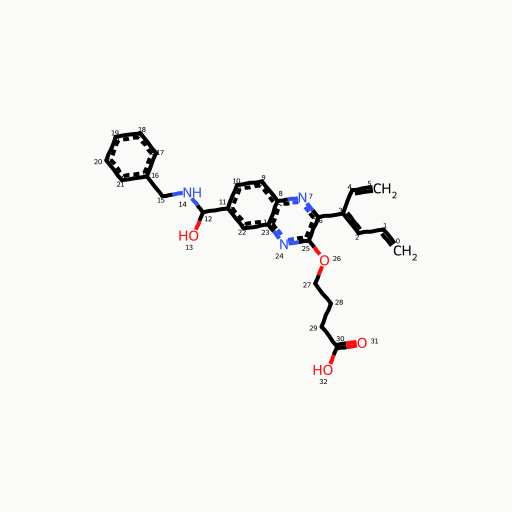 C=C/C=C(\C=C)c1nc2ccc(C(O)NCc3ccccc3)cc2nc1OCCCC(=O)O